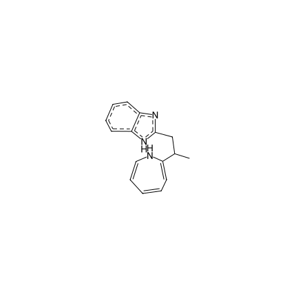 CC(Cc1nc2ccccc2[nH]1)C1=CC=CC=CN1